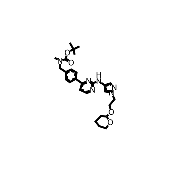 CN(Cc1ccc(-c2ccnc(Nc3cnn(CCOC4CCCCO4)c3)n2)cc1)C(=O)OC(C)(C)C